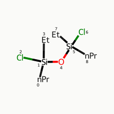 CCC[Si](Cl)(CC)O[Si](Cl)(CC)CCC